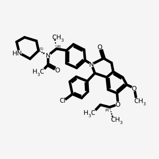 CC[C@@H](C)Oc1cc2c(cc1OC)CC(=O)N(c1ccc([C@@H](C)N(C(C)=O)[C@H]3CCCNC3)cc1)C2c1ccc(Cl)cc1